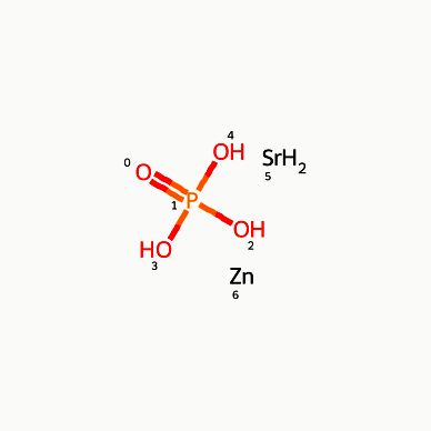 O=P(O)(O)O.[SrH2].[Zn]